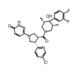 C[C@@H]1CN(C(=O)[C@@H]2CN(c3ccc(=O)[nH]n3)C[C@H]2c2ccc(Cl)cn2)C[C@H](C)[C@]1(O)c1ccc(F)c(F)c1